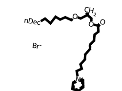 C=C(COCCCCCCCCCCCCCCCC)COC(=O)CCCCCCCCCC[n+]1ccccc1.[Br-]